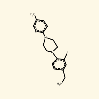 NCc1ccc(N2CCN(c3ccc(C(F)(F)F)cn3)CC2)c(F)c1